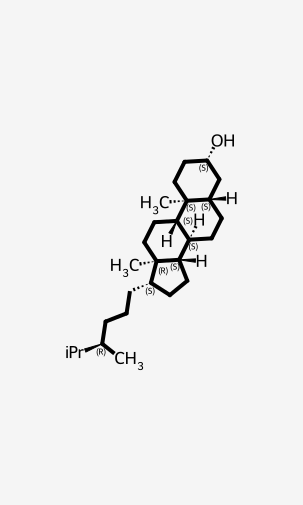 CC(C)[C@H](C)CCC[C@H]1CC[C@H]2[C@@H]3CC[C@H]4C[C@@H](O)CC[C@]4(C)[C@H]3CC[C@]12C